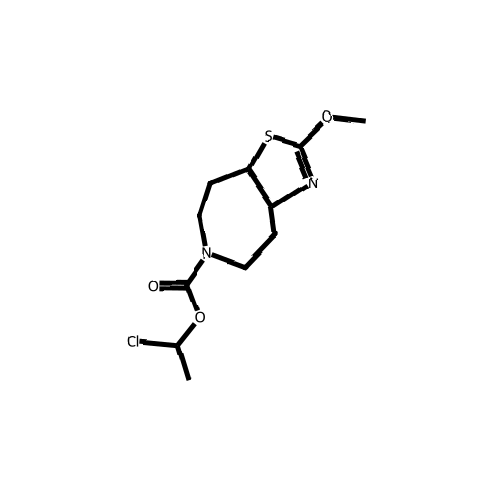 COC1=NC2CCN(C(=O)OC(C)Cl)CCC2S1